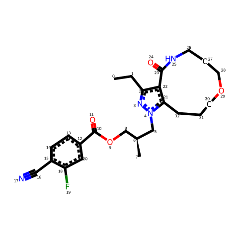 CCc1nn(C[C@@H](C)COC(=O)c2ccc(C#N)c(F)c2)c2c1C(=O)NCCCOCCC2